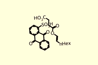 CCCCCCC=COC(=O)CCC(=O)O.O=C1c2ccccc2C(=O)c2c1cccc2S(=O)(=O)O